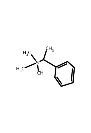 CC(c1ccccc1)[Si](C)(C)C